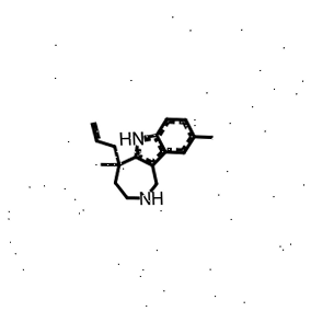 C=CCC1(C)CCNCc2c1[nH]c1ccc(C)cc21